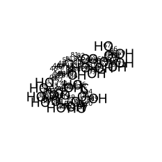 C[C@H](CC[C@@H](O[C@@H]1OC(CO[C@H]2OC(C=C=CO)[C@@H](O)C[C@H]2O)[C@@H](O)[C@H](O)[C@H]1O[C@H]1O[C@@H](CO)[C@H](O)[C@@H](O)[C@@H]1O)C(C)(C)O)C1CC[C@@]2(C)C3CC=C4C(CC[C@H](O[C@@H]5O[C@H](CO[C@@H]6O[C@H](CO)[C@@H](O)[C@H](O)[C@H]6O)[C@@H](O)[C@H](O)[C@H]5O)C4(C)C)[C@]3(C)[C@H](O)C[C@]12C